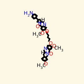 COc1ccc2c(c1)CN1C(=O)c3cc(OC)c(OCCCCCOc4cc5c(cc4OC)C(=O)N4C=C(c6ccc(N)cc6)C[C@H]4C=N5)cc3N=C[C@@H]1C2